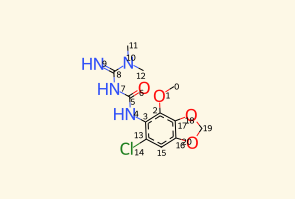 COc1c(NC(=O)NC(=N)N(C)C)c(Cl)cc2c1OCO2